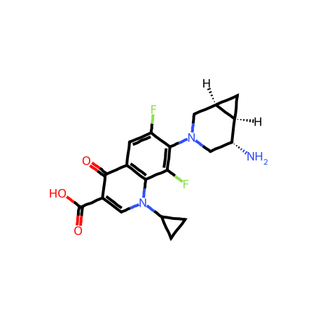 N[C@@H]1CN(c2c(F)cc3c(=O)c(C(=O)O)cn(C4CC4)c3c2F)C[C@H]2C[C@H]21